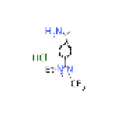 CCn1cc(C(F)(F)F)nc1-c1ccc(C(C)N)cc1.Cl